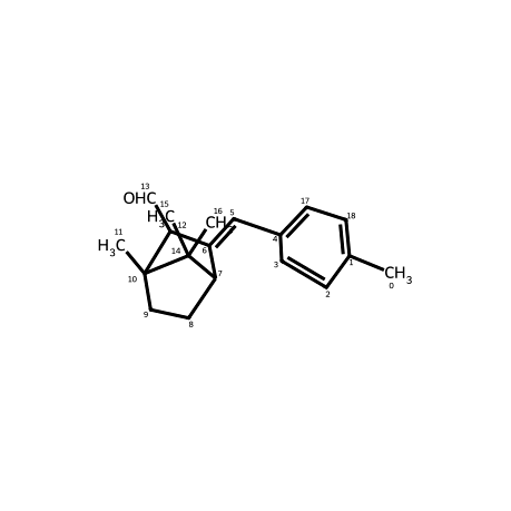 Cc1ccc(C=C2C3CCC(C)(C2C=O)C3(C)C)cc1